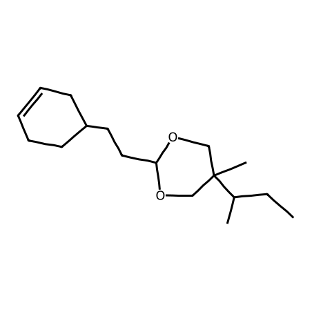 CCC(C)C1(C)COC(CCC2CC=CCC2)OC1